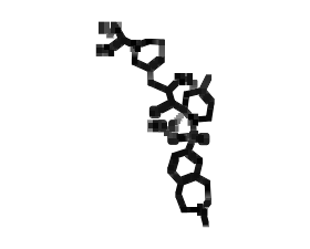 CC1=CCN(S(=O)(=O)c2ccc3c(c2)CCN(C)CC3)[C@@](C(=O)O)(C(=O)C(N)CC2=CCCN(C(=N)N)C2)C1